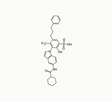 Cc1c(CCCc2ccccc2)cc(S(=O)(=O)O)c(O)c1-n1ccc2cc(NC(=O)C3CCCCC3)ccc21